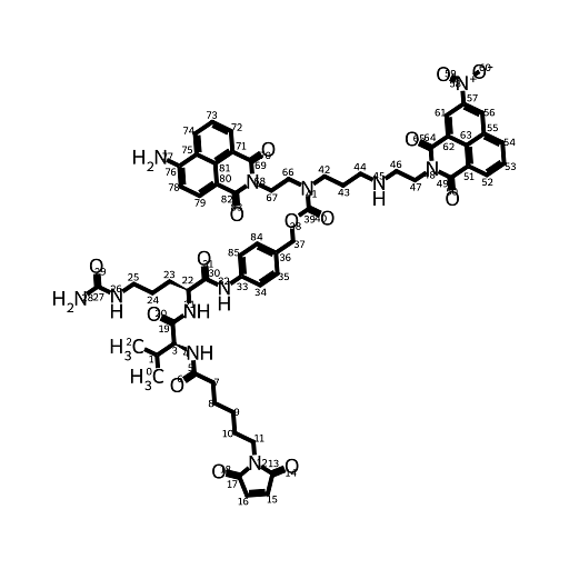 CC(C)[C@H](NC(=O)CCCCCN1C(=O)C=CC1=O)C(=O)N[C@@H](CCCNC(N)=O)C(=O)Nc1ccc(COC(=O)N(CCCNCCN2C(=O)c3cccc4cc([N+](=O)[O-])cc(c34)C2=O)CCN2C(=O)c3cccc4c(N)ccc(c34)C2=O)cc1